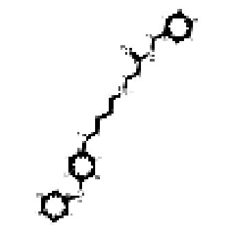 O=C(CCNCCCCOc1ccc(Oc2ccccc2)cc1)OCc1ccccc1